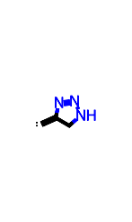 [C]=C1CNN=N1